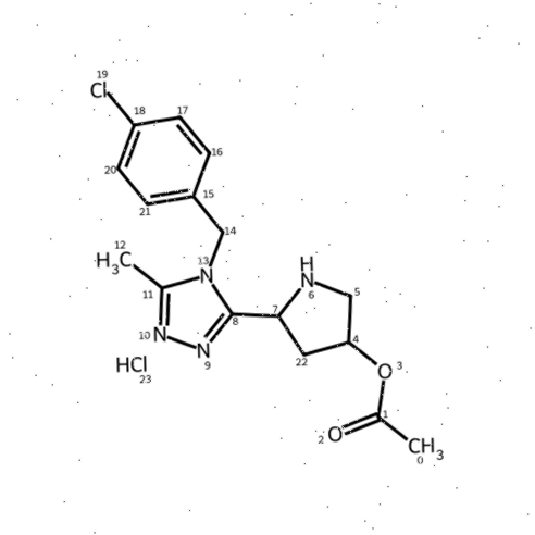 CC(=O)OC1CNC(c2nnc(C)n2Cc2ccc(Cl)cc2)C1.Cl